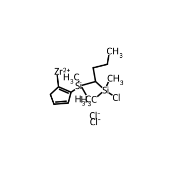 CCCC([Si](C)(C)Cl)[Si](C)(C)C1=[C]([Zr+2])CC=C1.[Cl-].[Cl-]